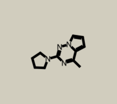 Cc1nc(N2CCCC2)nn2cccc12